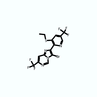 CCSc1cc(C(F)(F)F)cnc1-c1nc2cc(C(F)(F)F)ncn2c1Br